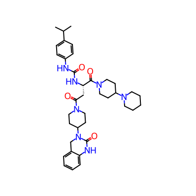 CC(C)c1ccc(NC(=O)N[C@@H](CC(=O)N2CCC(N3Cc4ccccc4NC3=O)CC2)C(=O)N2CCC(N3CCCCC3)CC2)cc1